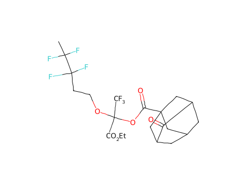 CCOC(=O)C(OCCC(F)(F)C(C)(F)F)(OC(=O)C12CC3CC(C1)C(=O)C(C3)C2)C(F)(F)F